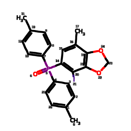 Cc1ccc(P(=O)(c2ccc(C)cc2)c2cc(C)c3c(c2I)OCO3)cc1